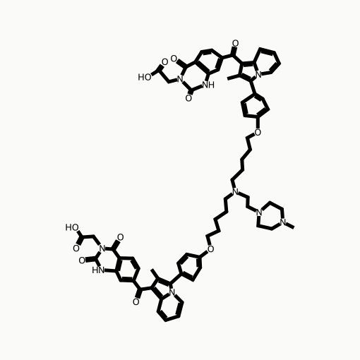 Cc1c(C(=O)c2ccc3c(=O)n(CC(=O)O)c(=O)[nH]c3c2)c2ccccn2c1-c1ccc(OCCCCCN(CCCCCOc2ccc(-c3c(C)c(C(=O)c4ccc5c(=O)n(CC(=O)O)c(=O)[nH]c5c4)c4ccccn34)cc2)CCN2CCN(C)CC2)cc1